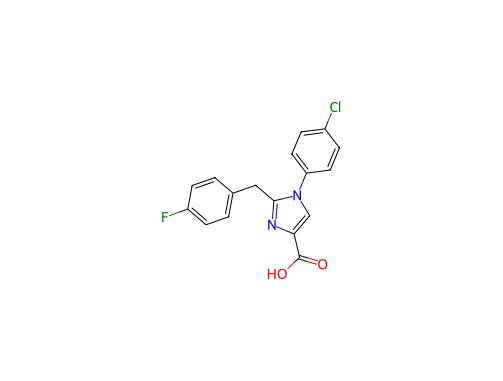 O=C(O)c1cn(-c2ccc(Cl)cc2)c(Cc2ccc(F)cc2)n1